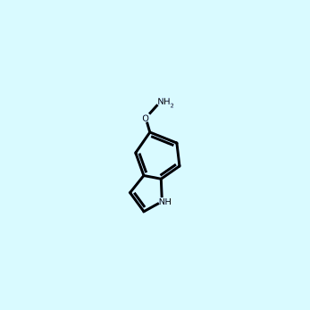 NOc1ccc2[nH]ccc2c1